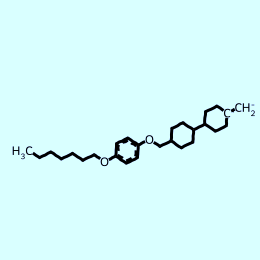 [CH2-][C+]1CCC(C2CCC(COc3ccc(OCCCCCCC)cc3)CC2)CC1